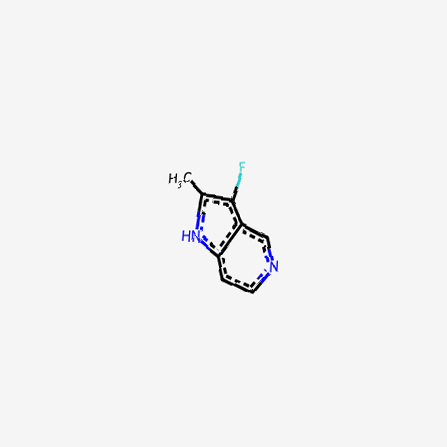 Cc1[nH]c2ccncc2c1F